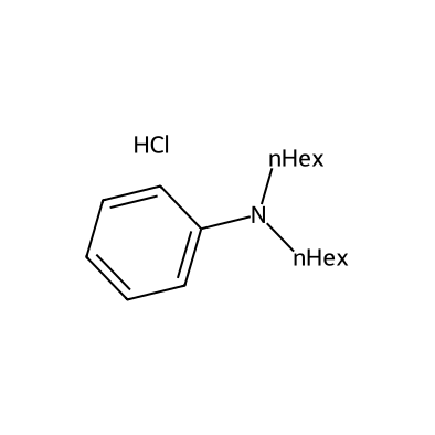 CCCCCCN(CCCCCC)c1ccccc1.Cl